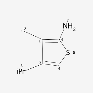 [CH2]c1c(C(C)C)csc1N